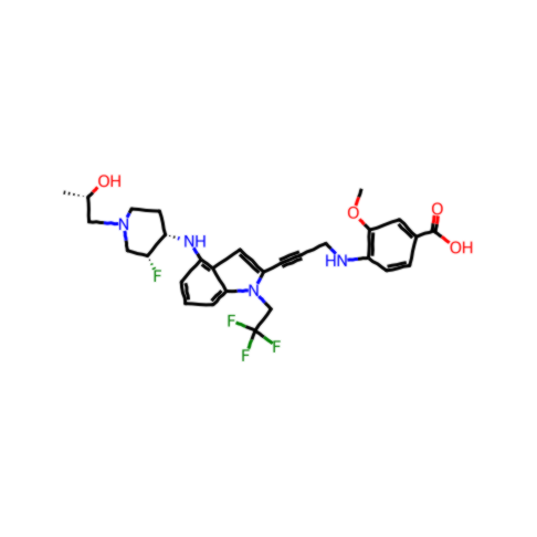 COc1cc(C(=O)O)ccc1NCC#Cc1cc2c(N[C@H]3CCN(C[C@H](C)O)C[C@H]3F)cccc2n1CC(F)(F)F